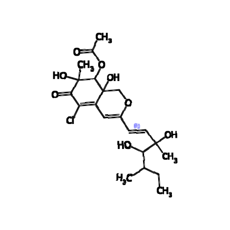 CCC(C)C(O)C(C)(O)/C=C/C1=CC2=C(Cl)C(=O)C(C)(O)C(OC(C)=O)C2(O)CO1